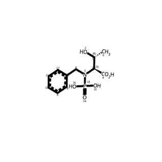 C[C@@H](O)[C@@H](C(=O)O)N(Cc1ccccc1)P(=O)(O)O